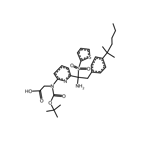 CCCCC(C)(C)c1ccc(CC(N)(c2cccc(N(CC(=O)O)C(=O)OC(C)(C)C)n2)S(=O)(=O)c2cccs2)cc1